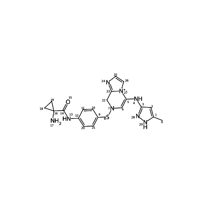 Cc1cc(NC2=CN(Sc3ccc(NC(=O)C4(N)CC4)cc3)CC3=NC=C[N+]23)n[nH]1